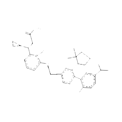 COC(=O)C[C@@H](c1cccc(OCc2ccc(-c3cc(C(F)F)ccc3F)c(C3CCCC3(C)C)c2)c1F)C1CC1